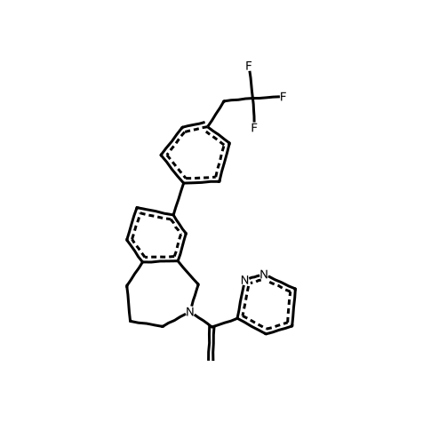 C=C(c1cccnn1)N1CCCc2ccc(-c3ccc(CC(F)(F)F)cc3)cc2C1